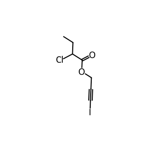 CCC(Cl)C(=O)OCC#CI